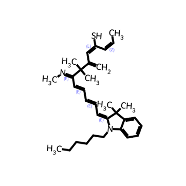 C=C(/C=C(S)\C=C/C)C(C)(C)C(/C=C/C=C/C=C1/N(CCCCCC)c2ccccc2C1(C)C)=N/C